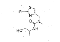 CC(CO)NC(=O)N(C)Cc1csc(C(C)C)n1